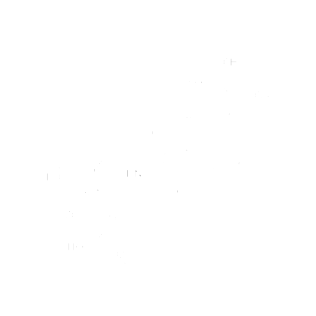 CS(=O)(=O)c1cccc(S(=O)(=O)NCC(C(=O)O)S(C)(=O)=O)c1